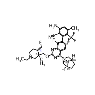 CCN1CC/C(=C\F)[C@](C)(COc2nc(N3C[C@H]4CC[C@@H](C3)N4)c3cc(F)c(-c4c(C#N)c(N)cc(C)c4C(F)(F)F)c(F)c3n2)C1